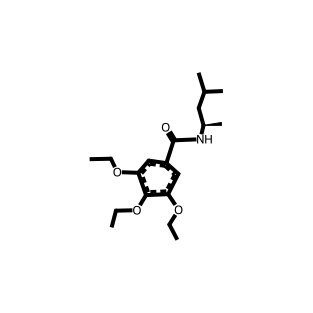 CCOc1cc(C(=O)N[C@H](C)CC(C)C)cc(OCC)c1OCC